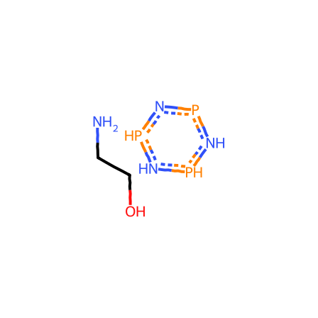 NCCO.n1p[nH][pH][nH][pH]1